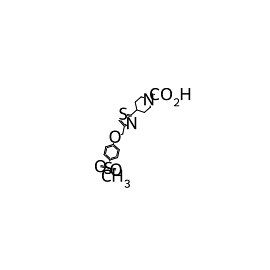 CS(=O)(=O)c1ccc(OCc2csc(C3CCN(C(=O)O)CC3)n2)cc1